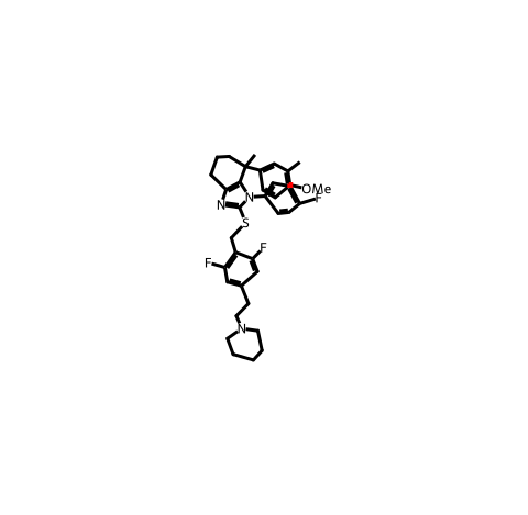 COc1ccc(C2(C)CCCc3nc(SCc4c(F)cc(CCN5CCCCC5)cc4F)n(-c4ccc(F)cc4)c32)cc1C